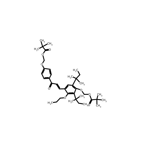 CCCOc1c(C=CC(=O)c2ccc(OCOC(=O)C(C)(C)C)cc2)cc(C(C)(C)CC)c(OCOC(=O)C(C)(C)C)c1C(C)(C)CC